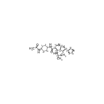 CC(=O)NC1CCC(NC(=O)c2cnc3sc(-c4cncs4)cc3c2NC(C)C)CC1